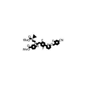 COC(=O)c1ccc2nc(Cc3cc(F)c(-c4cccc(OCc5ccc(C#N)cc5F)n4)cc3F)n(CCN(C(=O)OC(C)(C)C)C3CC3)c2c1